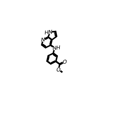 COC(=O)c1cccc(Nc2ccnc3[nH]ccc23)c1